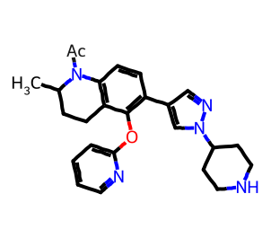 CC(=O)N1c2ccc(-c3cnn(C4CCNCC4)c3)c(Oc3ccccn3)c2CCC1C